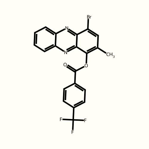 Cc1cc(Br)c2nc3ccccc3nc2c1OC(=O)c1ccc(C(F)(F)F)cc1